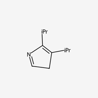 CC(C)C1=C(C(C)C)N=CC1